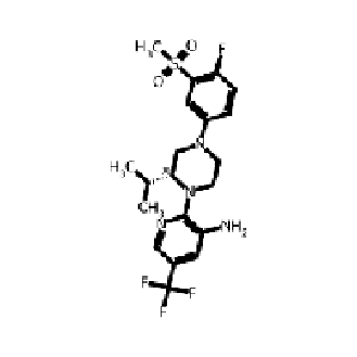 CC(C)[C@@H]1CN(c2ccc(F)c(S(C)(=O)=O)c2)CCN1c1ncc(C(F)(F)F)cc1N